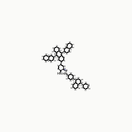 N=C1C=CC(c2ccc3c(-c4ccc5ccccc5c4)c4ccccc4c(-c4ccc5ccccc5c4)c3c2)=C/C1=N/Nc1ccc(-c2ccc(-c3cccnc3)c3ccccc23)cc1